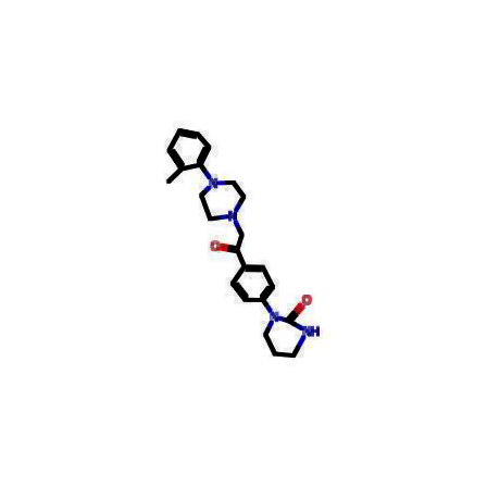 Cc1ccccc1N1CCN(CC(=O)c2ccc(N3CCCNC3=O)cc2)CC1